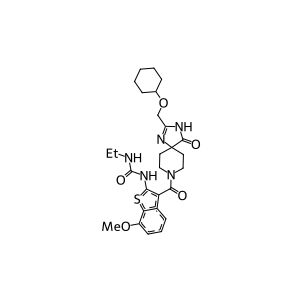 CCNC(=O)Nc1sc2c(OC)cccc2c1C(=O)N1CCC2(CC1)N=C(COC1CCCCC1)NC2=O